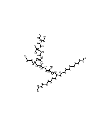 CCCCCCCCCCCCC(CCCCCCCCC)COC(=O)CCCC(CCCCCC)OC(=O)OCCN(CCN(CC)CC)C(C)C